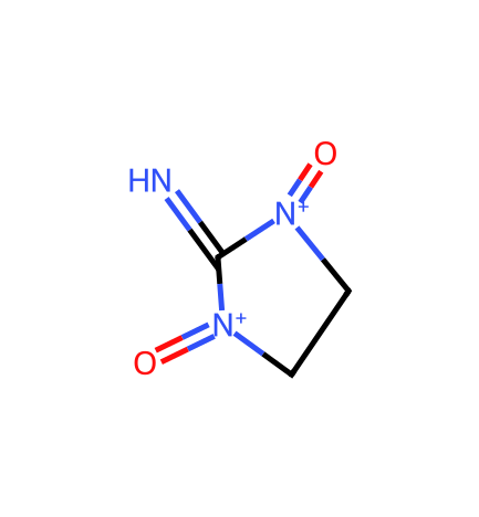 N=C1[N+](=O)CC[N+]1=O